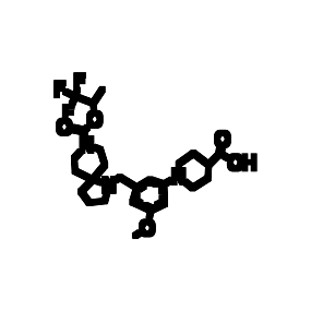 COc1cc(CN2CCCC23CCN(C(=O)OC(C)C(F)(F)F)CC3)cc(N2CCC(C(=O)O)CC2)c1